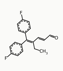 CCC(C=CC=O)=C(c1ccc(F)cc1)c1ccc(F)cc1